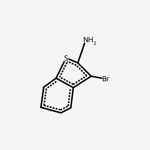 Nc1sc2ccccc2c1Br